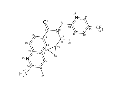 Cc1cc2cc(C(=O)N(Cc3ccc(C(F)(F)F)cn3)[C@H](C)C3CC3)ccc2nc1N